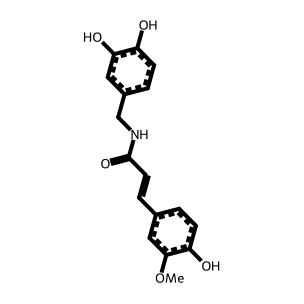 COc1cc(/C=C/C(=O)NCc2ccc(O)c(O)c2)ccc1O